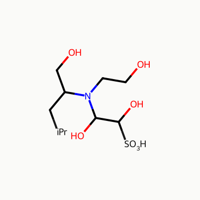 CC(C)CC(CO)N(CCO)C(O)C(O)S(=O)(=O)O